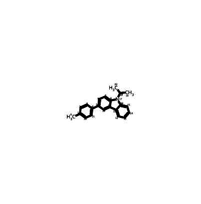 Cc1ccc(-c2ccc3c(c2)c2ccccc2n3C(C)C)cc1